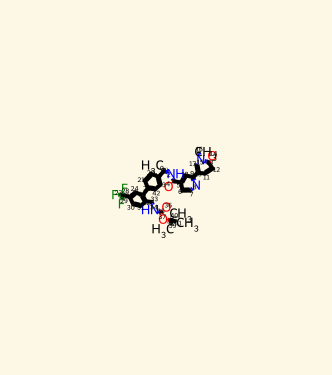 C[C@@H](NC(=O)c1ccnc(-c2ccc(=O)n(C)c2)c1)c1ccc(-c2cc(C(F)(F)F)ccc2CNC(=O)OC(C)(C)C)cc1